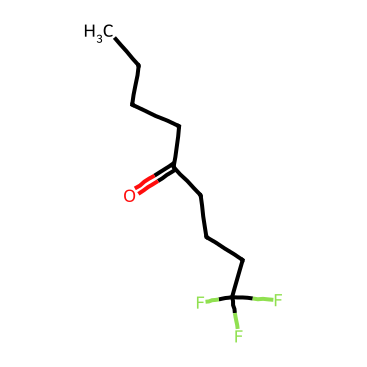 CCCCC(=O)CCCC(F)(F)F